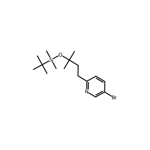 CC(C)(CCc1ccc(Br)cn1)O[Si](C)(C)C(C)(C)C